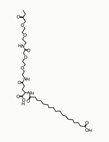 CCC(=O)COCCOCCNC(=O)COCCOCCNC(=O)CCC(NC(=O)CCCCCCCCCCCCCCCCC(=O)O)C(=O)O